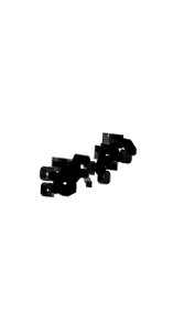 C[C@@H]1c2c([nH]c3c(Cl)c(Cl)ccc23)CCN1C(=O)c1ncc2c(n1)OCCN2